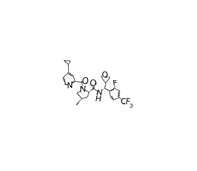 C[C@@H]1C[C@H](C(=O)N[C@@H](c2ccc(C(F)(F)F)cc2F)C2COC2)N(C(=O)c2cc(C3CC3)ccn2)C1